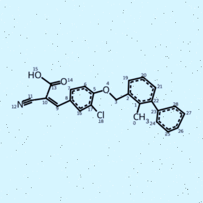 Cc1c(COc2ccc(C=C(C#N)C(=O)O)cc2Cl)cccc1-c1ccccc1